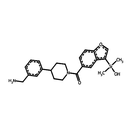 C[Si](C)(O)c1coc2ccc(C(=O)N3CCC(c4cccc(CN)c4)CC3)cc12